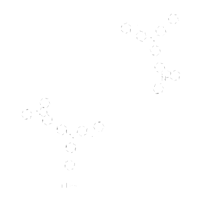 CCCCCCCCCCCCc1ccc(-c2ccc(N(c3ccc(-c4ccc5c(c4)c4ccccc4n5-c4ccccc4)cc3)c3ccc4c(c3)C(C)(C)c3cc(C(C)CCCCCCCCCCc5ccc(-n6c7ccccc7c7cc(-c8ccc(N(c9ccc(-c%10ccccc%10)cc9)c9ccc%10c(c9)C(C)(C)c9ccccc9-%10)cc8)ccc76)cc5)ccc3-4)cc2)cc1